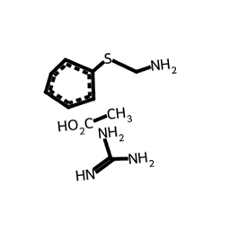 CC(=O)O.N=C(N)N.NCSc1ccccc1